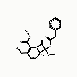 CCOC1(NC(=O)Cc2ccccc2)C(=O)N2C(C(=O)OC(C)(C)C)=C(CBr)CS[C@@H]21